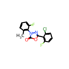 Cc1cccc(F)c1-n1nc(-c2c(F)cccc2Cl)oc1=O